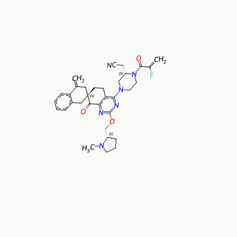 C=C(F)C(=O)N1CCN(c2nc(OC[C@@H]3CCCN3C)nc3c2CC[C@@]2(CC(=C)c4ccccc4C2)C3=O)C[C@@H]1CC#N